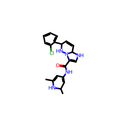 CC1=CC(NC(=O)C2=CNC3C=CC(c4ccccc4Cl)NN23)=CC(C)N1